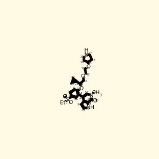 CCS(=O)(=O)c1ccc(OC(COCCOC2CCNCC2)C2CC2)c(-c2cn(C)c(=O)c3[nH]ccc23)c1